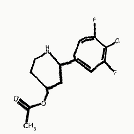 CC(=O)OC1CCNC(c2cc(F)c(Cl)c(F)c2)C1